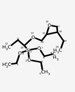 CCO[Si](OCC)(OCC)C(CC)OCC1OCC1CC